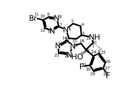 C[C@@H](NC1CCN(c2ncc(Br)cn2)CC1)[C@](O)(Cn1cncn1)c1ccc(F)cc1F